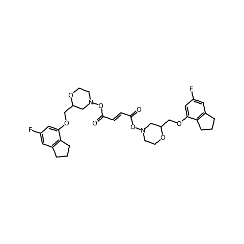 O=C(/C=C/C(=O)ON1CCOC(COc2cc(F)cc3c2CCC3)C1)ON1CCOC(COc2cc(F)cc3c2CCC3)C1